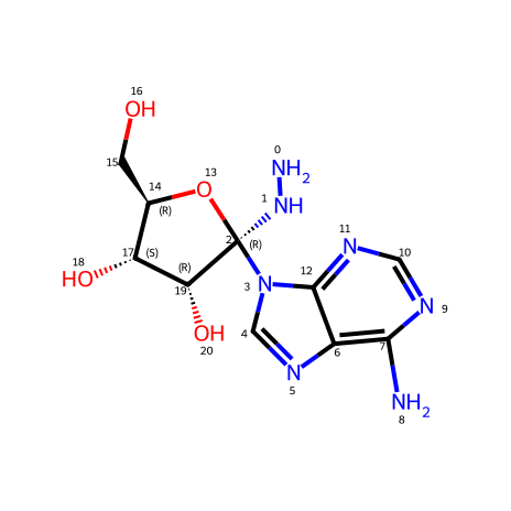 NN[C@@]1(n2cnc3c(N)ncnc32)O[C@H](CO)[C@@H](O)[C@H]1O